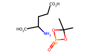 CC1(C)O[PH](=O)O1.NC(CCC(=O)O)C(=O)O